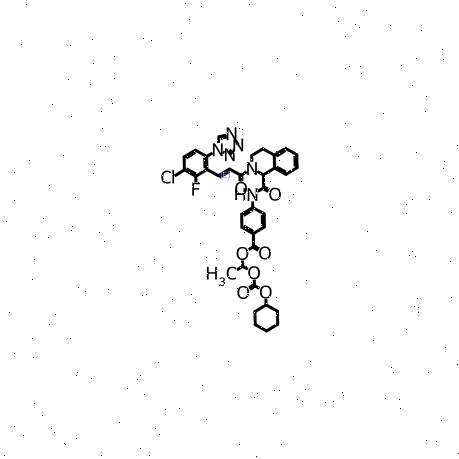 CC(OC(=O)OC1CCCCC1)OC(=O)c1ccc(NC(=O)C2c3ccccc3CCN2C(=O)/C=C/c2c(-n3cnnn3)ccc(Cl)c2F)cc1